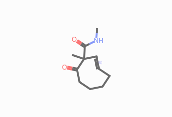 CNC(=O)C1(C)/C=C/CCCCC1=O